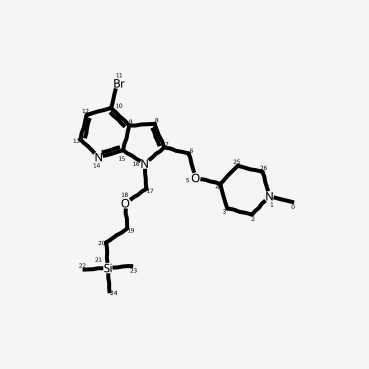 CN1CCC(OCc2cc3c(Br)ccnc3n2COCC[Si](C)(C)C)CC1